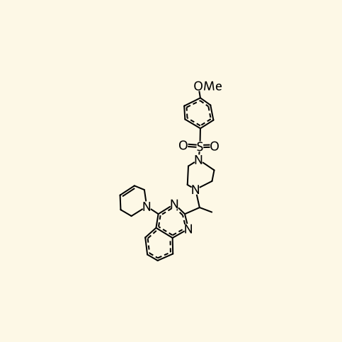 COc1ccc(S(=O)(=O)N2CCN(C(C)c3nc(N4CC=CCC4)c4ccccc4n3)CC2)cc1